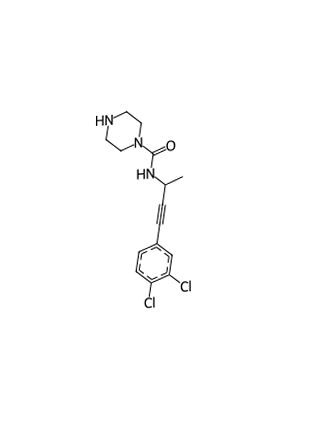 CC(C#Cc1ccc(Cl)c(Cl)c1)NC(=O)N1CCNCC1